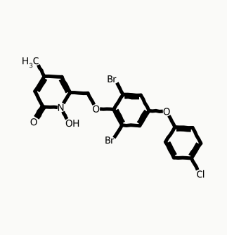 Cc1cc(COc2c(Br)cc(Oc3ccc(Cl)cc3)cc2Br)n(O)c(=O)c1